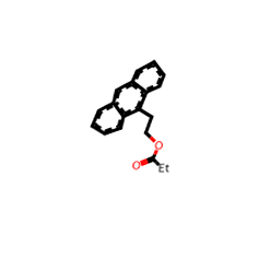 CCC(=O)OCCc1c2ccccc2cc2ccccc12